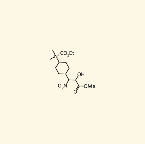 CCOC(=O)[N+](C)(C)C1CCC(C(C(O)C(=O)OC)[N+](=O)[O-])CC1